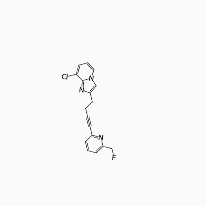 FCc1cccc(C#CCCc2cn3cccc(Cl)c3n2)n1